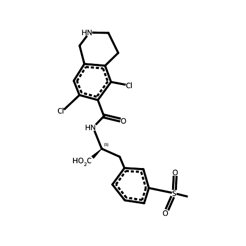 CS(=O)(=O)c1cccc(C[C@H](NC(=O)c2c(Cl)cc3c(c2Cl)CCNC3)C(=O)O)c1